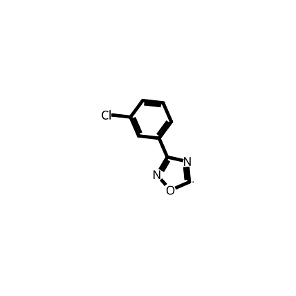 Clc1cccc(-c2n[c]on2)c1